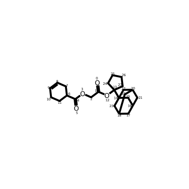 O=C(COC(=O)C1CC=CCC1)OC1(C23CC4CC(CC(C4)C2)C3)CCCC1